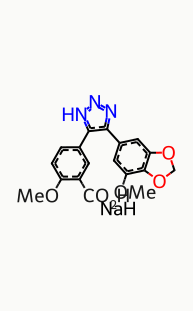 COc1ccc(-c2[nH]nnc2-c2cc(OC)c3c(c2)OCO3)cc1C(=O)O.[NaH]